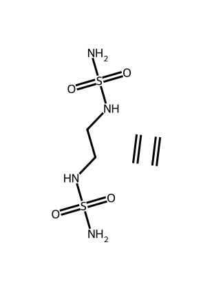 C=C.C=C.NS(=O)(=O)NCCNS(N)(=O)=O